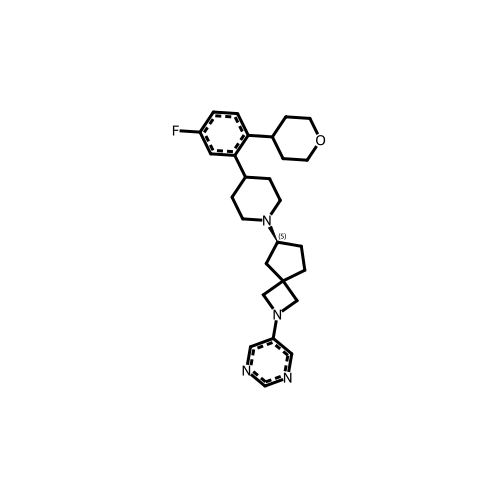 Fc1ccc(C2CCOCC2)c(C2CCN([C@H]3CCC4(C3)CN(c3cncnc3)C4)CC2)c1